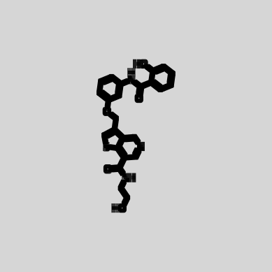 O=C(Nc1cccc(OCc2csc3c(C(=O)NCCO)cncc23)c1)c1ccccc1O